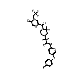 CC1(C)CN(C(C)(C)C(=O)Nc2ccc(Oc3ccc(F)cc3)cn2)CCN1C(=O)c1cn(CC(F)(F)F)c(=O)cn1